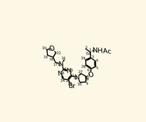 CC(=O)N[C@@H](C)c1ccc(O[C@@H]2CCN(c3nc(N(C)CC4CCOC4)ncc3Br)C2)cc1